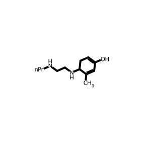 CCCNCCNC1CC=C(O)C=C1C